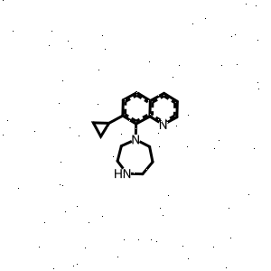 c1cnc2c(N3CCCNCC3)c(C3CC3)ccc2c1